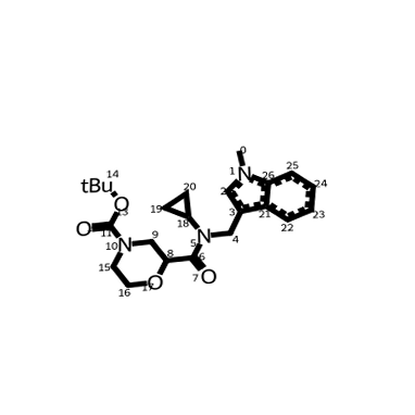 Cn1cc(CN(C(=O)C2CN(C(=O)OC(C)(C)C)CCO2)C2CC2)c2ccccc21